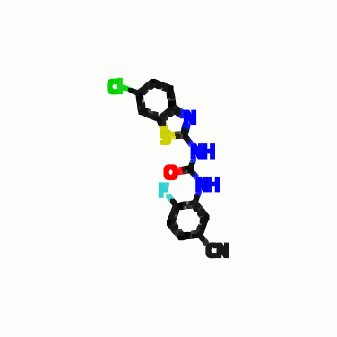 N#Cc1ccc(F)c(NC(=O)Nc2nc3ccc(Cl)cc3s2)c1